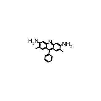 Cc1cc2c(-c3ccccc3)c3cc(C)c(N)cc3nc2cc1N